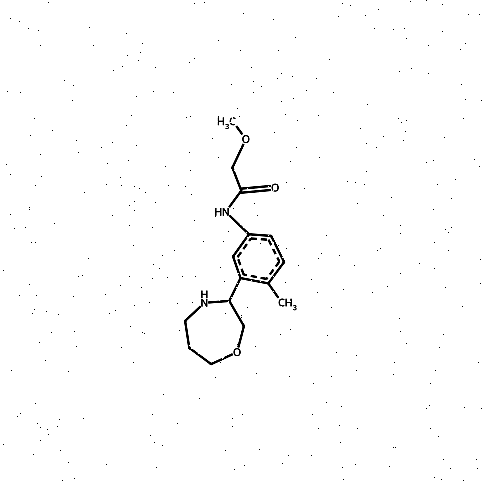 COCC(=O)Nc1ccc(C)c(C2COCCCN2)c1